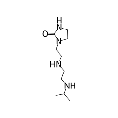 CC(C)NCCNCCN1CCNC1=O